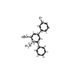 CCCCc1cc(-c2cccc(F)c2)cc(-c2ccccc2)[n+]1N